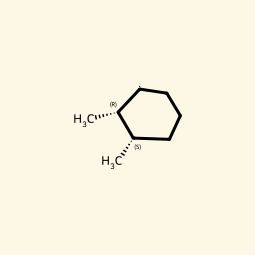 C[C@@H]1[CH]CCC[C@@H]1C